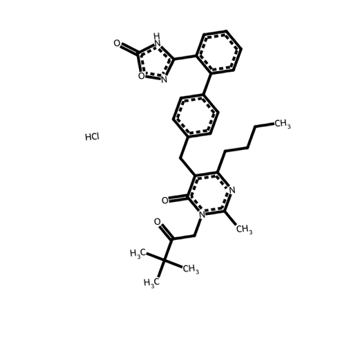 CCCCc1nc(C)n(CC(=O)C(C)(C)C)c(=O)c1Cc1ccc(-c2ccccc2-c2noc(=O)[nH]2)cc1.Cl